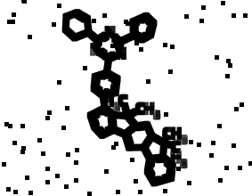 CC1(C)C2=CC3C(C=C2c2cccc(-c4ccc(-c5nc(-c6ccccc6)nc(C6C=CCCC6)n5)cc4)c21)c1ccccc1C3(C)C